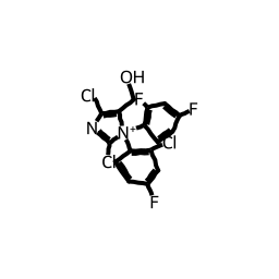 OCC1=C(Cl)N=C(Cl)[N+]1(c1ccc(F)cc1F)c1ccc(F)cc1Cl